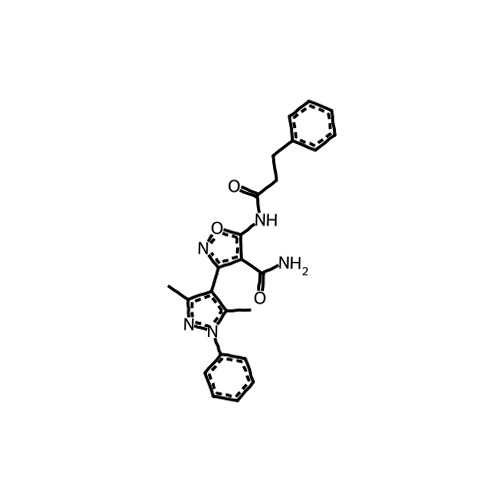 Cc1nn(-c2ccccc2)c(C)c1-c1noc(NC(=O)CCc2ccccc2)c1C(N)=O